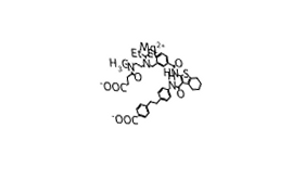 CCC(CC)N(CCN(C)C(=O)CCC(=O)[O-])Cc1cccc(C(=O)Nc2sc3c(c2C(=O)Nc2ccc(CCc4ccc(C(=O)[O-])cc4)cc2)CCCC3)c1.[Mg+2]